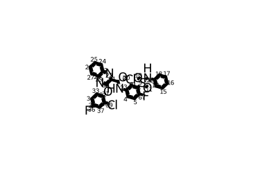 O=C(Nc1ccc(F)c(S(=O)(=O)Nc2ccccc2)c1Cl)c1nc2ccccc2nc1Oc1ccc(F)cc1Cl